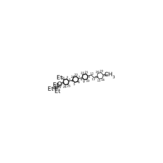 CCc1cc(-c2ccc(-c3ccc(CCC4CCC(C)CC4)cc3)cc2)ccc1OCC(CC)(CC)CC